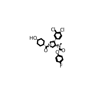 CN(C(=O)Oc1ccc(F)cc1)[C@H]1CN(C(=O)[C@H]2CC[C@@H](O)CC2)C[C@@H]1c1ccc(Cl)c(Cl)c1